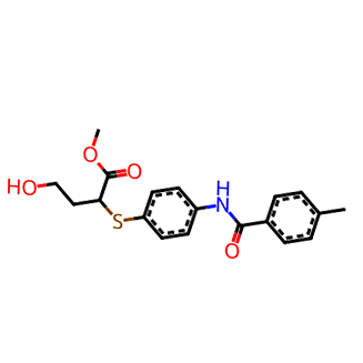 COC(=O)C(CCO)Sc1ccc(NC(=O)c2ccc(C)cc2)cc1